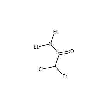 CCC(Cl)C(=O)N(CC)CC